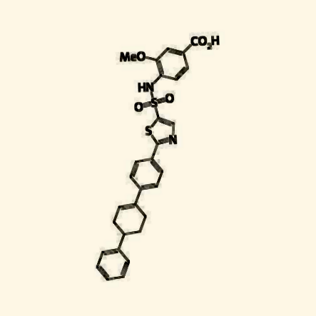 COc1cc(C(=O)O)ccc1NS(=O)(=O)c1cnc(-c2ccc(C3=CCC(c4ccccc4)CC3)cc2)s1